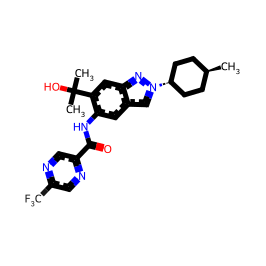 CC(C)(O)c1cc2nn([C@H]3CC[C@H](C)CC3)cc2cc1NC(=O)c1cnc(C(F)(F)F)cn1